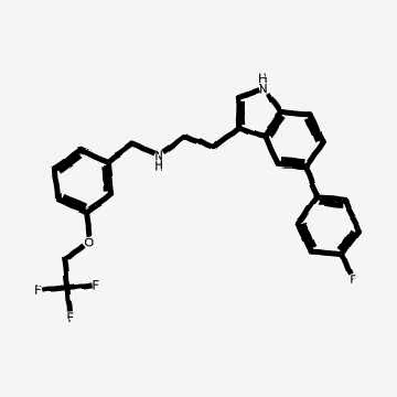 Fc1ccc(-c2ccc3[nH]cc(CCNCc4cccc(OCC(F)(F)F)c4)c3c2)cc1